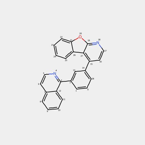 c1cc(-c2nccc3ccccc23)cc(-c2ccnc3oc4ccccc4c23)c1